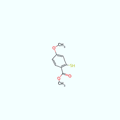 COC(=O)c1ccc(OC)cc1S